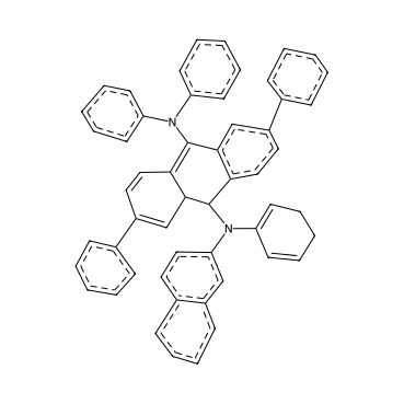 C1=CC(N(c2ccc3ccccc3c2)C2c3ccc(-c4ccccc4)cc3C(N(c3ccccc3)c3ccccc3)=C3C=CC(c4ccccc4)=CC32)=CCC1